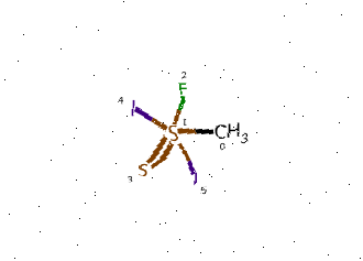 CS(F)(=S)(I)I